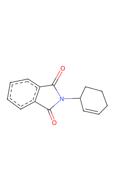 O=C1c2ccccc2C(=O)N1C1C=CCCC1